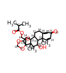 CC(C)C(=O)OCC(=O)C12OCOC1CC1C3CCC4=CC(=O)C=CC4(C)C3C(O)CC12C